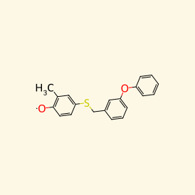 Cc1cc(SCc2cccc(Oc3ccccc3)c2)ccc1[O]